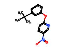 CC(C)(C)c1cccc(Oc2ccc([N+](=O)[O-])cn2)c1